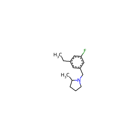 CCc1cc(F)cc(CN2CCCC2C)c1